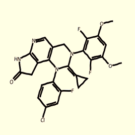 COc1cc(OC)c(F)c(N2Cc3cnc4c(c3N(c3ccc(Cl)cc3F)C2=C2CC2)CC(=O)N4)c1F